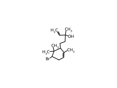 C=CC(C)(O)CCC1C(C)=CCC(Br)C1(C)C